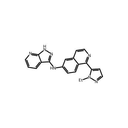 CCn1nccc1-c1nccc2cc(Nc3n[nH]c4ncccc34)ccc12